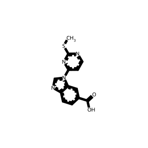 CSc1nccc(-n2cnc3ccc(C(=O)O)cc32)n1